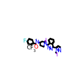 CN(C(=O)c1ccc(F)cc1C(F)(F)F)C1CCN(c2nnc(-c3ccnn3CI)c3ccccc23)C(I)C1